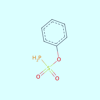 O=S(=O)(P)Oc1ccccc1